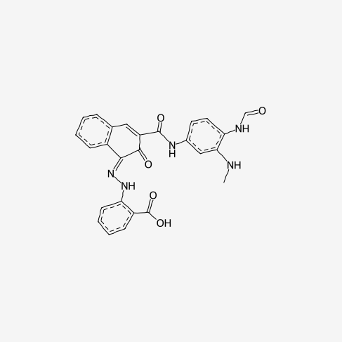 CNc1cc(NC(=O)C2=Cc3ccccc3/C(=N/Nc3ccccc3C(=O)O)C2=O)ccc1NC=O